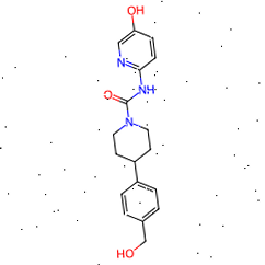 O=C(Nc1ccc(O)cn1)N1CCC(c2ccc(CO)cc2)CC1